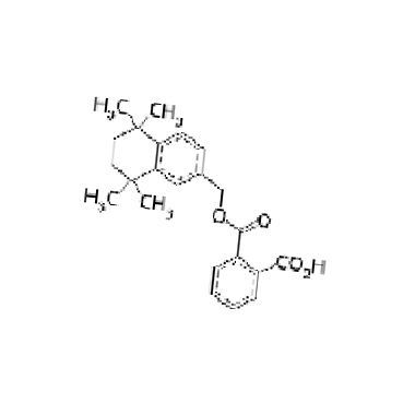 CC1(C)CCC(C)(C)c2cc(COC(=O)c3ccccc3C(=O)O)ccc21